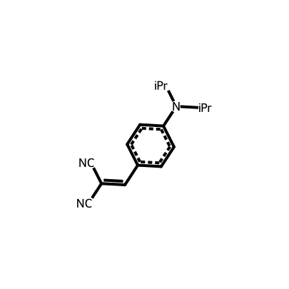 CC(C)N(c1ccc(C=C(C#N)C#N)cc1)C(C)C